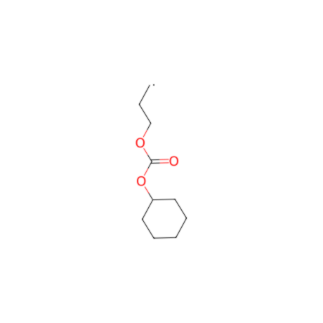 [CH2]CCOC(=O)OC1CCCCC1